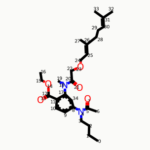 CCCCN(C(C)=O)c1ccc(C(=O)OCC)c(N(C)C(=O)COC/C=C(\C)CCC=C(C)C)c1